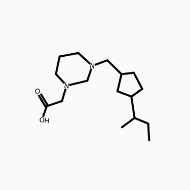 CCC(C)C1CCC(CN2CCCN(CC(=O)O)C2)C1